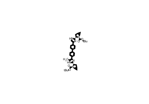 Cc1[nH]c([C@@H]2CC3CC3N2C(=O)OC(C)(C)C)nc1-c1ccc(-c2ccc(-c3c[nH]c([C@@H]4CC5CC5N4C(=O)OC(C)(C)C)n3)cc2)cc1